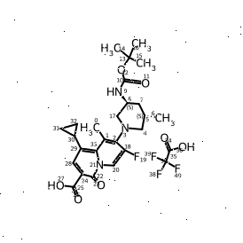 Cc1c(N2C[C@@H](C)C[C@H](NC(=O)OC(C)(C)C)C2)c(F)cn2c(=O)c(C(=O)O)cc(C3CC3)c12.O=C(O)C(F)(F)F